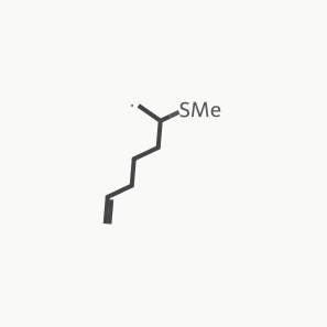 [CH2]C(CCCC=C)SC